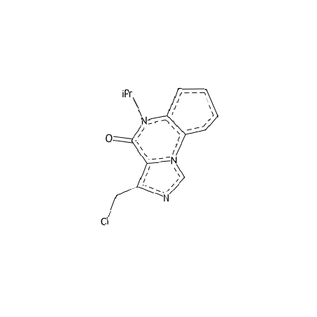 CC(C)n1c(=O)c2c(CCl)ncn2c2ccccc21